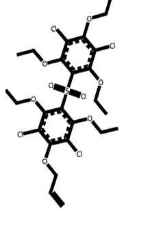 C=CCOc1c(Cl)c(OCC)c(S(=O)(=O)c2c(OCC)c(Cl)c(OCC=C)c(Cl)c2OCC)c(OCC)c1Cl